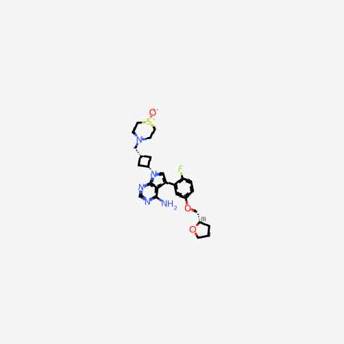 Nc1ncnc2c1c(-c1cc(OC[C@@H]3CCCO3)ccc1F)cn2[C@H]1C[C@@H](CN2CC[S+]([O-])CC2)C1